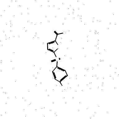 Cc1ccc(S(=O)(=O)c2ccc(C(N)=O)s2)cc1